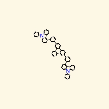 c1ccc(-n2c3ccccc3c3c(-c4cccc(-c5ccc6c7ccc(-c8cccc(-c9cccc%10c9c9ccccc9n%10-c9ccccc9)c8)cc7c7ccccc7c6c5)c4)cccc32)cc1